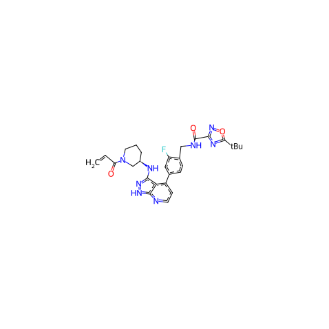 C=CC(=O)N1CCC[C@@H](Nc2n[nH]c3nccc(-c4ccc(CNC(=O)c5noc(C(C)(C)C)n5)c(F)c4)c23)C1